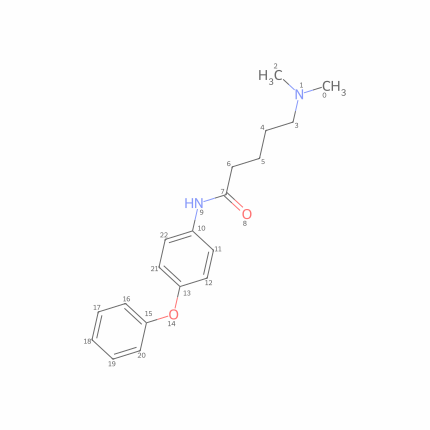 CN(C)CCCCC(=O)Nc1ccc(Oc2ccccc2)cc1